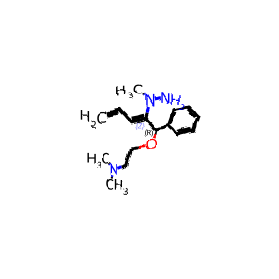 C=C/C=C(/[C@H](OCCN(C)C)c1ccccc1)N(C)N